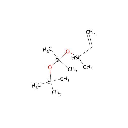 C=C[SiH](C)O[Si](C)(C)O[Si](C)(C)C